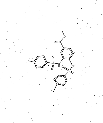 COC(=O)c1ccc(NS(=O)(=O)c2ccc(C)cc2)c(NS(=O)(=O)c2ccc(C)cc2)c1